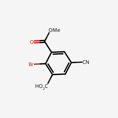 COC(=O)c1cc(C#N)cc(C(=O)O)c1Br